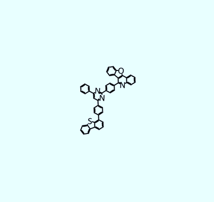 c1ccc(-c2cc(-c3ccc(-c4cccc5c4sc4ccccc45)cc3)nc(-c3ccc(-c4nc5ccccc5c5oc6ccccc6c45)cc3)n2)cc1